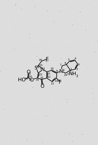 NC12C=CC=CC1CN(c1cc3c(cc1F)c(=O)c(OC(=O)O)c1n3C(CF)S1)C2